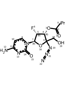 CC(C)C(=O)O[C@H]1[C@@H](F)[C@H](n2ccc(N)nc2=O)OC1(CO)N=[N+]=[N-]